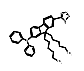 CCCCCCC1(CCCCCC)c2cc(-c3nnn[nH]3)ccc2-c2ccc(N(c3ccccc3)c3ccccc3)cc21